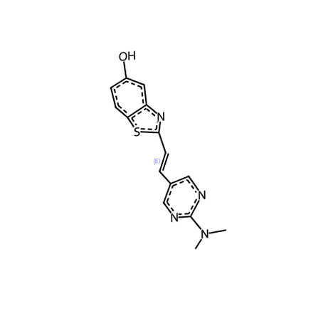 CN(C)c1ncc(/C=C/c2nc3cc(O)ccc3s2)cn1